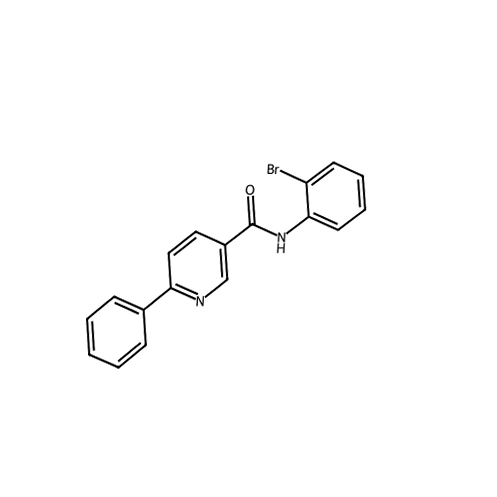 O=C(Nc1ccccc1Br)c1ccc(-c2ccccc2)nc1